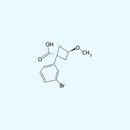 CO[C@H]1C[C@@](C(=O)O)(c2cccc(Br)c2)C1